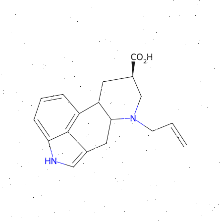 C=CCN1C[C@H](C(=O)O)CC2c3cccc4[nH]cc(c34)CC21